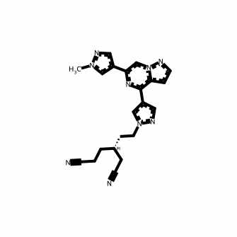 Cn1cc(-c2cn3nccc3c(-c3cnn(CC[C@H](CC#N)CCC#N)c3)n2)cn1